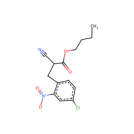 CCCCOC(=O)C(C#N)Cc1ccc(Cl)cc1[N+](=O)[O-]